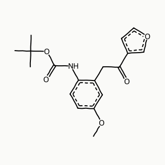 COc1ccc(NC(=O)OC(C)(C)C)c(CC(=O)c2ccoc2)c1